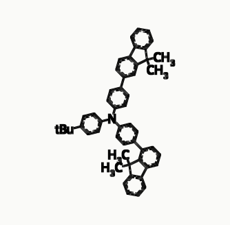 CC(C)(C)c1ccc(N(c2ccc(-c3ccc4c(c3)C(C)(C)c3ccccc3-4)cc2)c2ccc(-c3cccc4c3C(C)(C)c3ccccc3-4)cc2)cc1